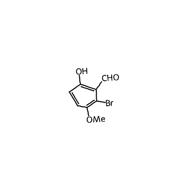 COc1ccc(O)c(C=O)c1Br